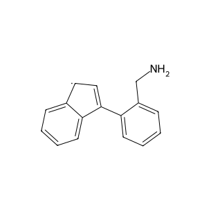 NCc1ccccc1C1=C[CH]c2ccccc21